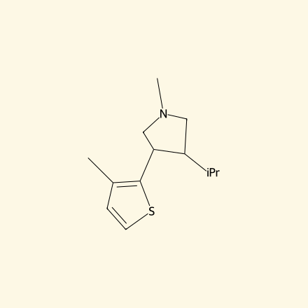 Cc1ccsc1C1CN(C)CC1C(C)C